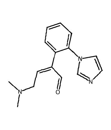 CN(C)CC=C(C=O)c1ccccc1-n1ccnc1